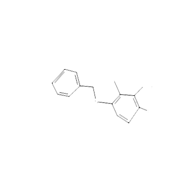 Cc1c(F)ccc(NCc2ccccc2)c1C